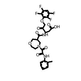 Cc1ccccc1NC(=O)C(=O)N1CCOCC(C(=O)NC(CC(=O)O)C(=O)COc2c(F)c(F)cc(F)c2F)C1